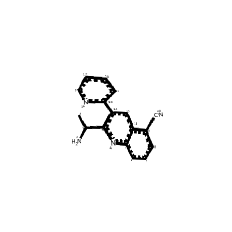 CC(N)c1nc2cccc(C#N)c2cc1-c1ccccn1